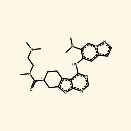 CN(C)CCN(C)C(=O)[C@H]1CCc2c(sc3ncnc(Nc4cc5ccnn5cc4N(C)C)c23)C1